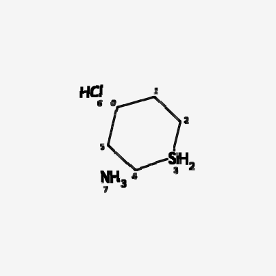 C1CC[SiH2]CC1.Cl.N